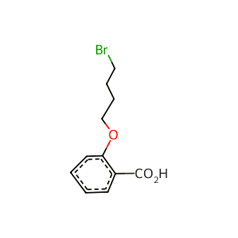 O=C(O)c1ccccc1OCCCCBr